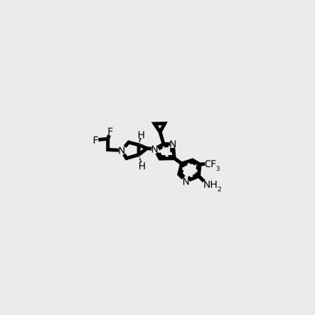 Nc1ncc(-c2cn(C3[C@H]4CN(CC(F)F)C[C@@H]34)c(C3CC3)n2)cc1C(F)(F)F